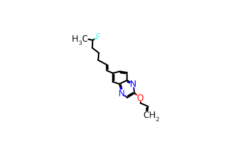 C=CCOc1cnc2cc(/C=C/CCCC(C)F)ccc2n1